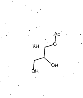 CC(=O)OCC(O)CO.[KH]